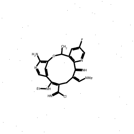 CCN/C1=C(\C(=N)Cl)C/C(=C/NC)C(=N)c2ncc(F)cc2C(C)Oc2cc1cnc2N